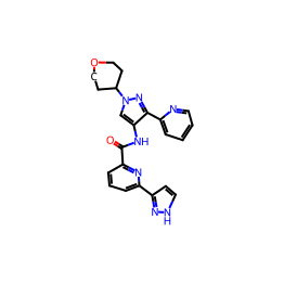 O=C(Nc1cn(C2CCOCC2)nc1-c1ccccn1)c1cccc(-c2cc[nH]n2)n1